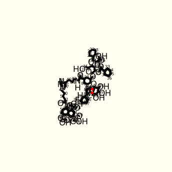 CC1OC(OC2C(OC3OC(CO)C(O)C(O[C@@H](CC4CCCCC4)C(=O)O)C3OC(=O)c3ccccc3)CC(C(=O)NCCCc3cn(CCCCC(=O)Nc4ccc(S(=O)(=O)O)c5cc(S(=O)(=O)O)cc(S(=O)(=O)O)c45)nn3)CC2n2cc(-c3cccc(F)c3)nn2)C(O)C(O)C1O